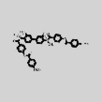 COc1ccc(C(=O)Oc2ccc(C(=O)N(C)c3ccc(-c4ccc(N(C)C(=O)c5ccc(OC(=O)c6ccc(OC)cc6)cc5)c(C)c4)cc3C)cc2)cc1